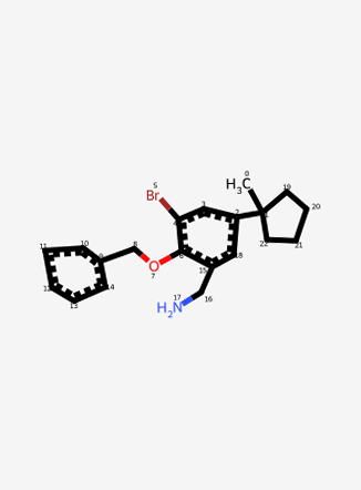 CC1(c2cc(Br)c(OCc3ccccc3)c(CN)c2)CCCC1